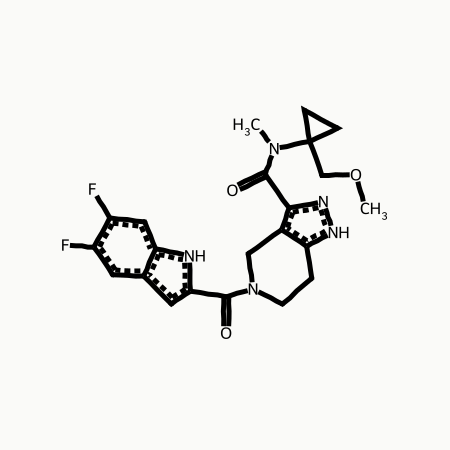 COCC1(N(C)C(=O)c2n[nH]c3c2CN(C(=O)c2cc4cc(F)c(F)cc4[nH]2)CC3)CC1